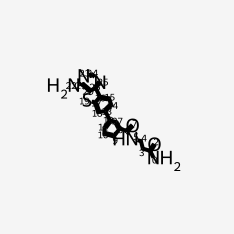 NC(=O)CCNC(=O)c1cccc(-c2ccc3c(c2)sc2c(N)ncnc23)c1